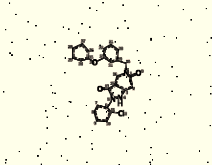 O=c1cc2[nH]n(-c3ccccc3Cl)c(=O)c2cn1Cc1cccc(Oc2ccccc2)c1